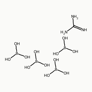 N=C(N)N.OB(O)O.OB(O)O.OB(O)O.OB(O)O